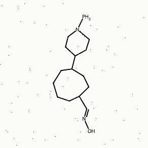 O/N=C/C1CCCCC(C2CCN(P)CC2)CC1